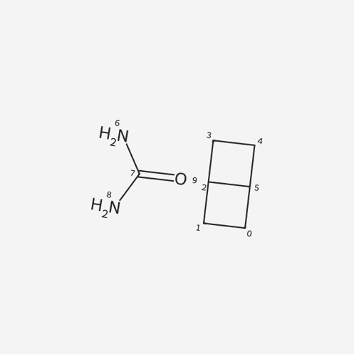 C1CC2CCC12.NC(N)=O